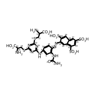 NC(=O)Nc1cc(Nc2nc(SCC(N)C(=O)O)nc(SCC(N)C(=O)O)n2)ccc1/N=N/c1cc2c(S(=O)(=O)O)cc(S(=O)(=O)O)cc2cc1S(=O)(=O)O